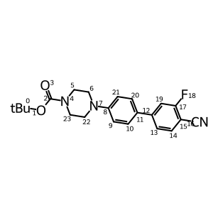 CC(C)(C)OC(=O)N1CCN(c2ccc(-c3ccc(C#N)c(F)c3)cc2)CC1